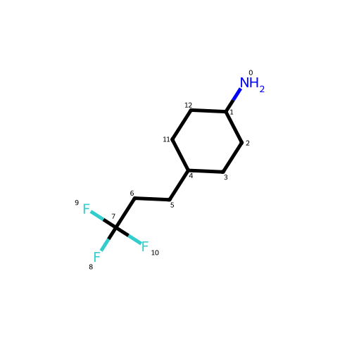 NC1CCC(CCC(F)(F)F)CC1